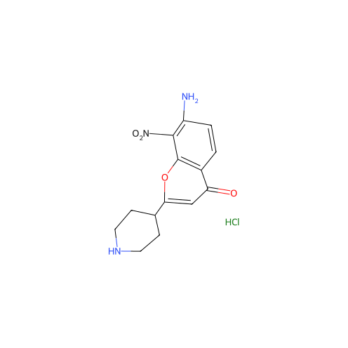 Cl.Nc1ccc2c(=O)cc(C3CCNCC3)oc2c1[N+](=O)[O-]